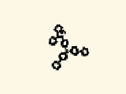 c1ccc(-c2ccc(N(c3ccc(-c4ccccc4)cc3)c3ccc(-c4oc5ccccc5c4-c4ccccc4)cc3)cc2)cc1